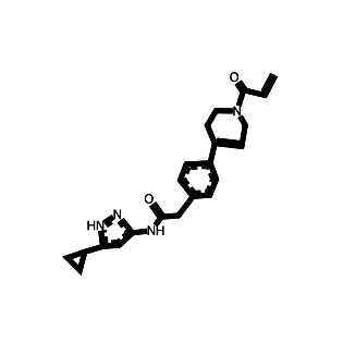 C=CC(=O)N1CC=C(c2ccc(CC(=O)Nc3cc(C4CC4)[nH]n3)cc2)CC1